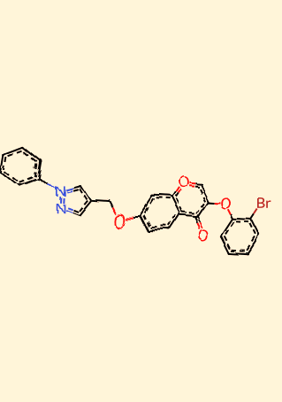 O=c1c(Oc2ccccc2Br)coc2cc(OCc3cnn(-c4ccccc4)c3)ccc12